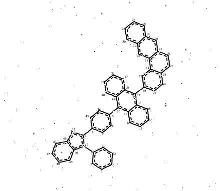 c1ccc(-n2c(-c3ccc(-c4c5ccccc5c(-c5ccc6ccc7cc8ccccc8cc7c6c5)c5ccccc45)cc3)nc3ccccc32)cc1